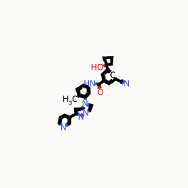 Cc1ccc(NC(=O)c2cc(C#N)cc(C3(O)CCC3)c2)cc1-n1ccn2nc(-c3cccnc3)cc12